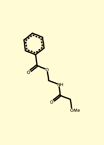 COCC(=O)NCOC(=O)c1ccccc1